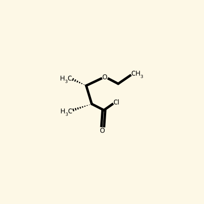 CCO[C@@H](C)[C@@H](C)C(=O)Cl